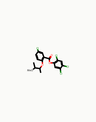 COC(C)C(C)Oc1ccc(Cl)cc1C(=O)Oc1cc(Cl)c(Cl)cc1Cl